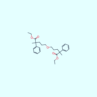 CCOC(=O)C(C)(CCCOCCCC(C)(C(=O)OCC)c1ccccc1)c1ccccc1